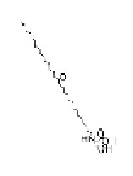 CCCCCCCCCCCCCCCC(=O)CCCCCCCCCCCCCCN[C@@H](CO)C(=O)O